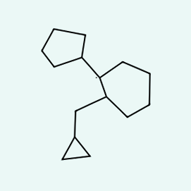 C1CCC(CC2CC2)[C](C2CCCC2)C1